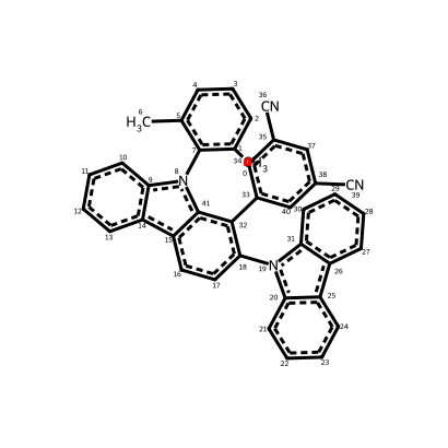 Cc1cccc(C)c1-n1c2ccccc2c2ccc(-n3c4ccccc4c4ccccc43)c(-c3cc(C#N)cc(C#N)c3)c21